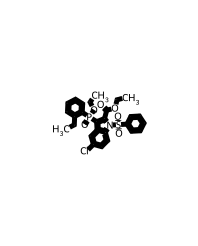 CCOC(=O)c1c(P(=O)(OCC)c2ccccc2CC)c2cc(Cl)ccc2n1S(=O)(=O)c1ccccc1